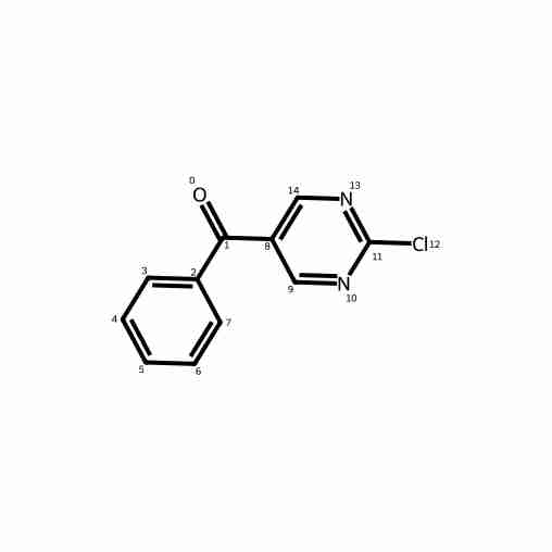 O=C(c1ccccc1)c1cnc(Cl)nc1